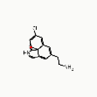 NCCC1=CC2=CC(Cl)=CCC23C(=O)NC=CC3=C1